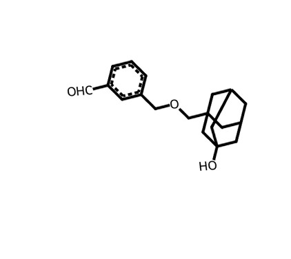 O=Cc1cccc(COCC23CC4CC(CC(O)(C4)C2)C3)c1